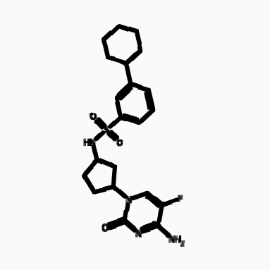 Nc1nc(=O)n(C2CCC(NS(=O)(=O)c3cccc(C4CCCCC4)c3)C2)cc1F